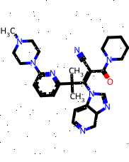 CN1CCN(c2cccc(C(C)(C)C(=C(C#N)C(=O)N3CCCCC3)N3C=NC4CN=CC=C43)n2)CC1